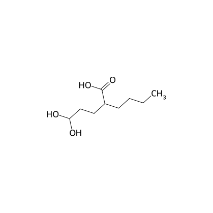 CCCCC(CCC(O)O)C(=O)O